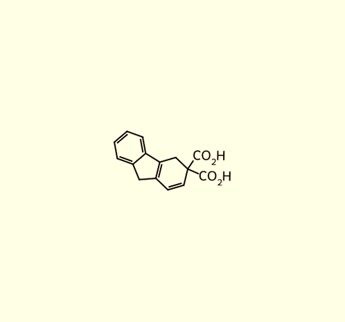 O=C(O)C1(C(=O)O)C=CC2=C(C1)c1ccccc1C2